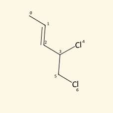 CC=CC(Cl)CCl